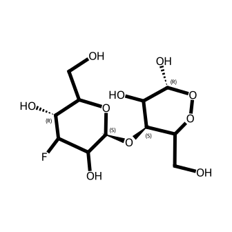 OCC1O[C@@H](O[C@@H]2C(CO)OO[C@@H](O)C2O)C(O)C(F)[C@@H]1O